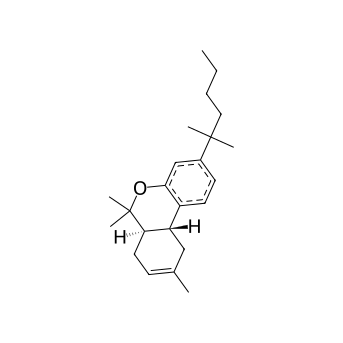 CCCCC(C)(C)c1ccc2c(c1)OC(C)(C)[C@@H]1CC=C(C)C[C@@H]21